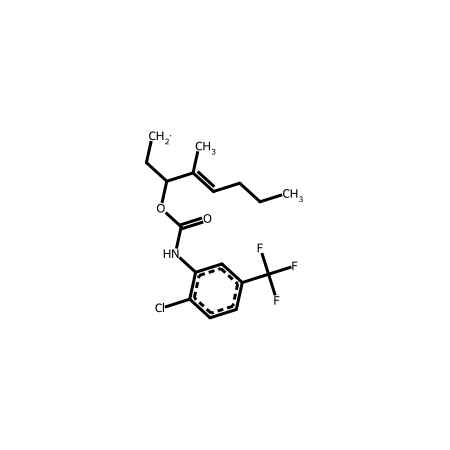 [CH2]CC(OC(=O)Nc1cc(C(F)(F)F)ccc1Cl)C(C)=CCCC